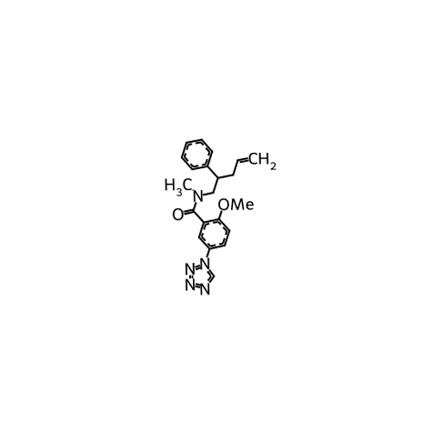 C=CCC(CN(C)C(=O)c1cc(-n2cnnn2)ccc1OC)c1ccccc1